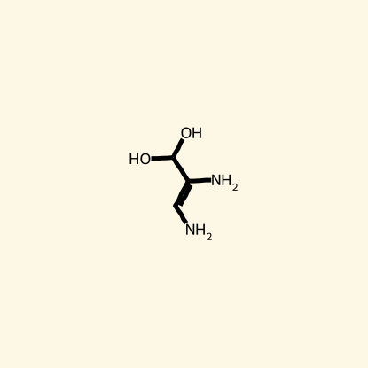 N/C=C(\N)C(O)O